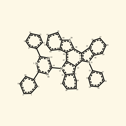 c1ccc(-c2nc(-c3ccccc3)nc(-n3c4ccccc4c4c5c(c6ccccc6n5-c5ccccc5)c5sc6ccccc6c5c43)n2)cc1